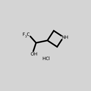 Cl.OC(C1CNC1)C(F)(F)F